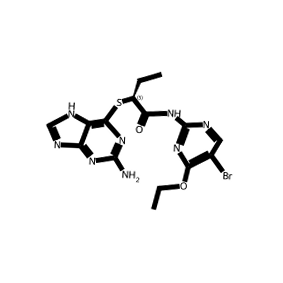 CCOc1nc(NC(=O)[C@H](CC)Sc2nc(N)nc3nc[nH]c23)ncc1Br